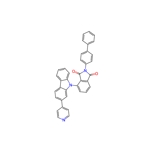 O=C1c2cccc(-n3c4ccccc4c4ccc(-c5ccncc5)cc43)c2C(=O)N1c1ccc(-c2ccccc2)cc1